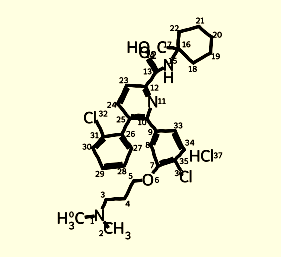 CN(C)CCCOc1cc(-c2nc(C(=O)NC3(C(=O)O)CCCCC3)ccc2-c2ccccc2Cl)ccc1Cl.Cl